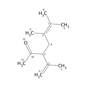 C=C(C)C(CC(C)=C(C)C)C(C)=O